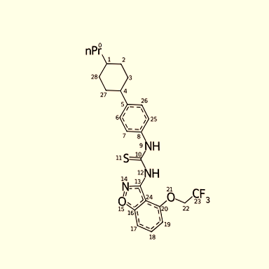 CCCC1CCC(c2ccc(NC(=S)Nc3noc4cccc(OCC(F)(F)F)c34)cc2)CC1